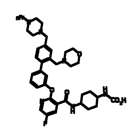 CCCN1CCN(Cc2ccc(-c3cccc(Oc4ncc(F)cc4C(=O)NC4CCC(NC(=O)O)CC4)c3)c(CN3CCOCC3)c2)CC1